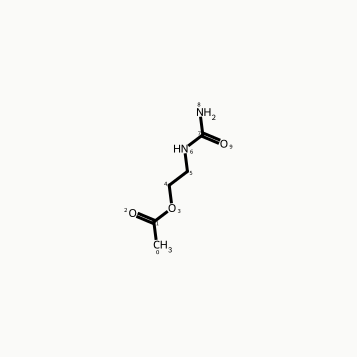 CC(=O)OCCNC(N)=O